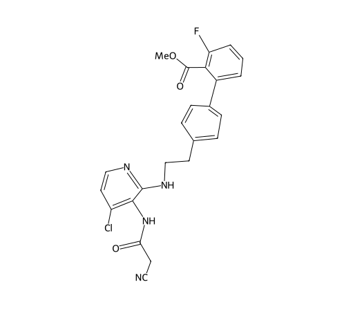 COC(=O)c1c(F)cccc1-c1ccc(CCNc2nccc(Cl)c2NC(=O)CC#N)cc1